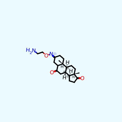 C[C@]12CC/C(=N/OCCN)CC1C(=O)C[C@@H]1[C@@H]2CC[C@]2(C)C(=O)CC[C@@H]12